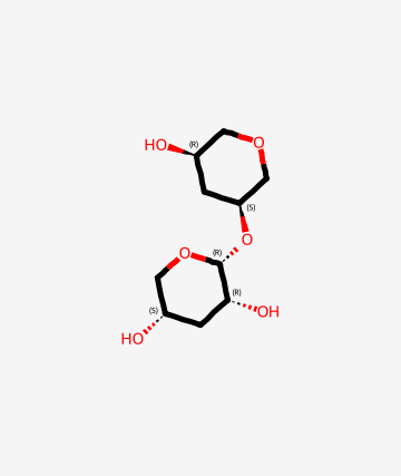 O[C@@H]1CO[C@H](O[C@@H]2COC[C@H](O)C2)[C@H](O)C1